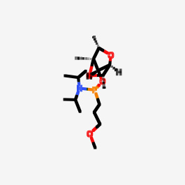 COCCCP(O[C@H]1[C@H]2O[C@@H](C)[C@]1(C)O[C@H]2C)N(C(C)C)C(C)C